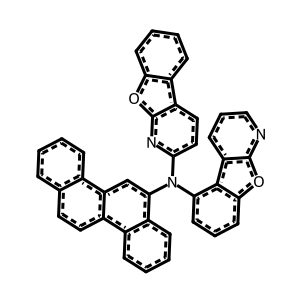 c1ccc2c(c1)ccc1c3ccccc3c(N(c3ccc4c(n3)oc3ccccc34)c3cccc4oc5ncccc5c34)cc21